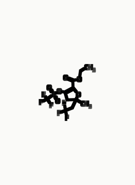 CCOC(=O)C1=C(OS(=O)(=O)C(F)(F)F)CC(C)(CC(F)(F)F)O1